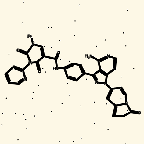 CC(C)n1cc(C(=O)Nc2ccc(-c3nn(C4=CC5=CCC(=O)N5C=C4)c4ccnc(N)c34)cc2)c(=O)n(-c2ccccn2)c1=O